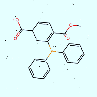 COC(=O)C1=C(P(c2ccccc2)c2ccccc2)CC(C(=O)O)C=C1